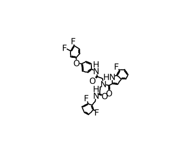 O=C(CN(CC(=O)Nc1ccc(Oc2ccc(F)c(F)c2)cc1)C(=O)c1cc2cccc(F)c2[nH]1)NCc1c(F)cccc1F